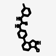 Cc1cccc(NC(=S)Nc2ccc(-c3cccc4c3CNC4=O)cc2)c1